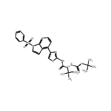 CC(C)(C)OC(=O)N[C@@H](C(=O)Nc1nc(-c2ccnc3c2ccn3S(=O)(=O)c2ccccc2)cs1)C(C)(C)C